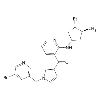 CC[C@H]1C[C@@H](Nc2ncncc2C(=O)c2ccn(Cc3cncc(Br)c3)c2)C[C@@H]1C